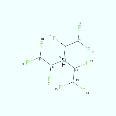 FC(F)C(F)[SiH](C(F)C(F)F)C(F)C(F)F